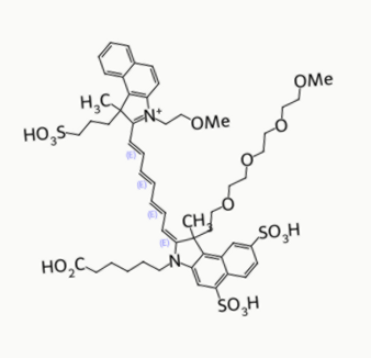 COCCOCCOCCOCCC1(C)\C(=C/C=C/C=C/C=C/C2=[N+](CCOC)c3ccc4ccccc4c3C2(C)CCCS(=O)(=O)O)N(CCCCCC(=O)O)c2cc(S(=O)(=O)O)c3ccc(S(=O)(=O)O)cc3c21